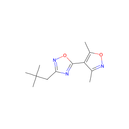 Cc1noc(C)c1-c1nc(CC(C)(C)C)no1